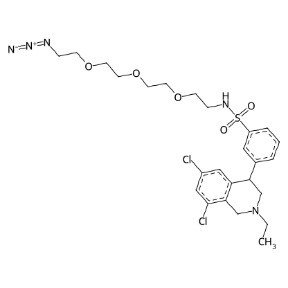 CCN1Cc2c(Cl)cc(Cl)cc2C(c2cccc(S(=O)(=O)NCCOCCOCCOCCN=[N+]=[N-])c2)C1